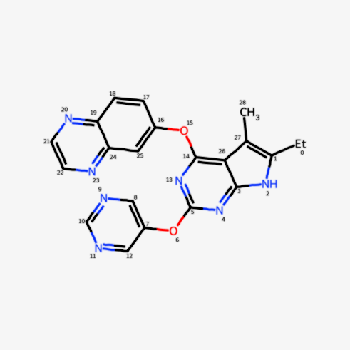 CCc1[nH]c2nc(Oc3cncnc3)nc(Oc3ccc4nccnc4c3)c2c1C